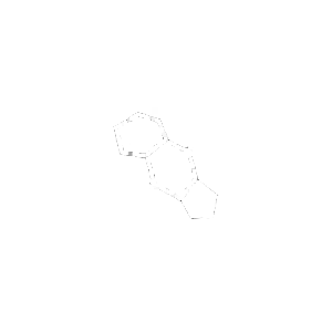 c1ccc2nc3c(nc2c1)CCC3